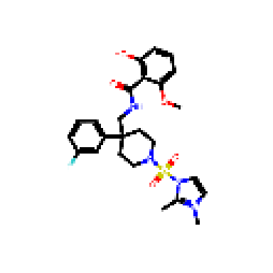 COc1cccc(O)c1C(=O)NCC1(c2cccc(F)c2)CCN(S(=O)(=O)n2cc[n+](C)c2C)CC1